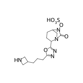 O=C1N2CC(CCC2c2nnc(CCCC3CNC3)o2)N1OS(=O)(=O)O